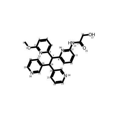 COc1cccc(C(c2cccc(NC(=O)CO)n2)C(c2cccnc2)c2cccnc2)n1